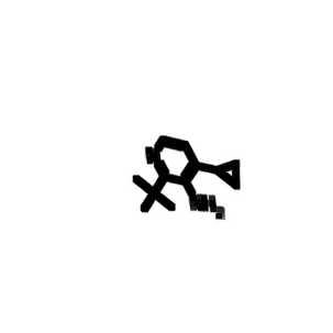 CC(C)(C)c1nccc(C2CC2)c1N